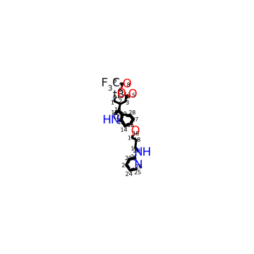 CC(C)(C)CC(CC(=O)OC(=O)C(F)(F)F)c1c[nH]c2cc(OCCCNc3ccccn3)ccc12